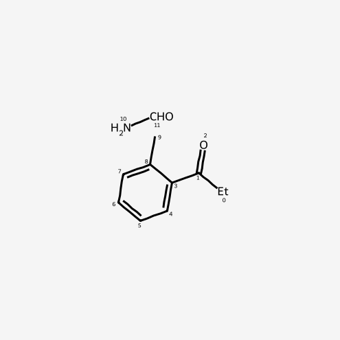 CCC(=O)c1ccccc1C.NC=O